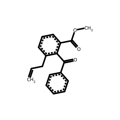 C=CCc1cccc(C(=O)OC)c1C(=O)c1ccccc1